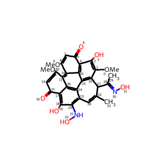 COc1c(O)c2c(=O)cc(OC)c3c4c(OC)cc(=O)c5c(O)c(NO)c6c(c(c1C(/C(C)=N/O)C(C)=C6)c23)c54